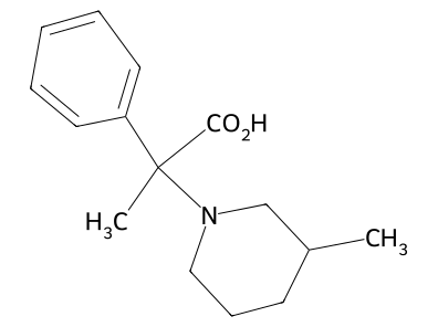 CC1CCCN(C(C)(C(=O)O)c2ccccc2)C1